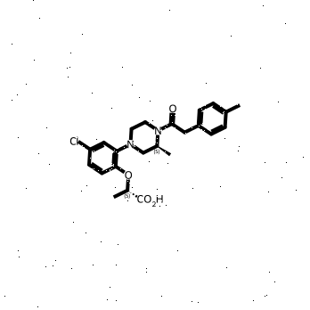 Cc1ccc(CC(=O)N2CCN(c3cc(Cl)ccc3O[C@@H](C)C(=O)O)C[C@@H]2C)cc1